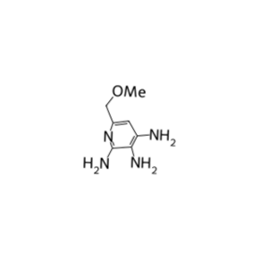 COCc1cc(N)c(N)c(N)n1